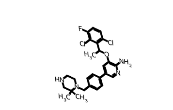 CC(Oc1cc(-c2ccc(CN3CCNCC3(C)C)cc2)cnc1N)c1c(Cl)ccc(F)c1Cl